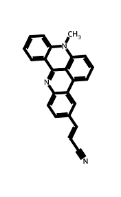 CN1c2ccccc2-c2nc3ccc(C=CC#N)cc3c3cccc1c23